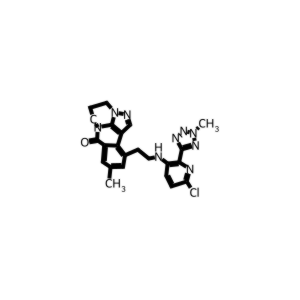 Cc1cc(CCNc2ccc(Cl)nc2-c2nnn(C)n2)c2c(c1)c(=O)n1c3c2cnn3CCC1